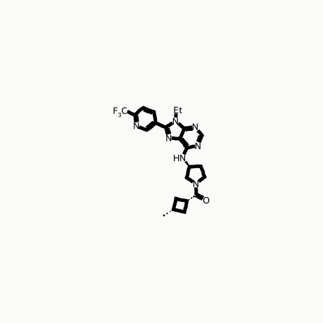 CCn1c(-c2ccc(C(F)(F)F)nc2)nc2c(N[C@H]3CCN(C(=O)[C@H]4C[C@@H](C)C4)C3)ncnc21